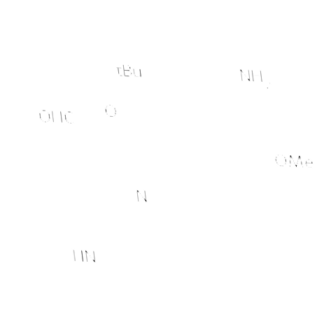 CC(C)(C)OC=O.COc1cc(N2CCNCC2)ccc1N